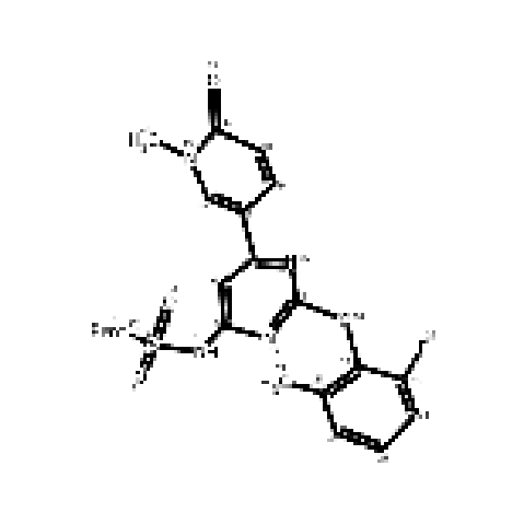 CCC[C@H](C)S(=O)(=O)Nc1cc(-c2ccc(=O)n(C)c2)nc(Oc2c(C)cccc2F)n1